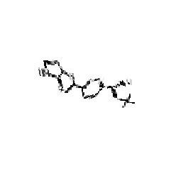 CC(C)(C)C=C(C#N)c1ccc(-c2cnc3[nH]ccc3n2)cn1